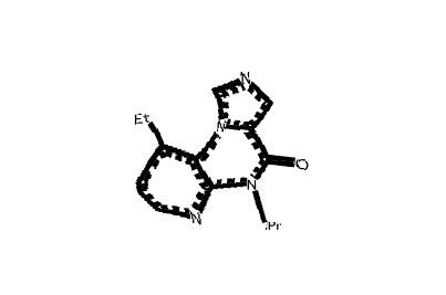 CCc1ccnc2c1n1cncc1c(=O)n2C(C)C